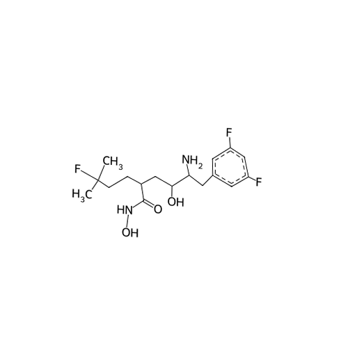 CC(C)(F)CCC(CC(O)C(N)Cc1cc(F)cc(F)c1)C(=O)NO